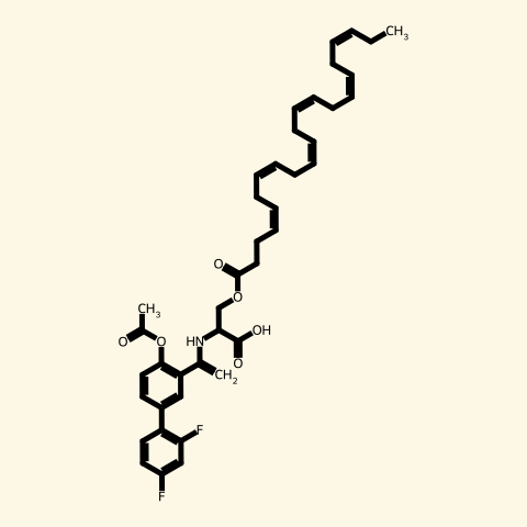 C=C(NC(COC(=O)CC/C=C\C/C=C\C/C=C\C/C=C\C/C=C\C/C=C\CC)C(=O)O)c1cc(-c2ccc(F)cc2F)ccc1OC(C)=O